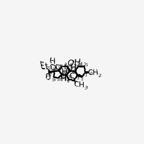 C=C1C=C2[C@@H](C)C[C@@H]3[C@H]([C@@H](O)C[C@@]4(C)[C@H]3CC[C@]4(O)C(=O)CC)[C@@]2(C)CC1